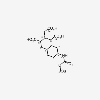 CC(C)(C)OC(=O)NC1CCC(CC(C(=O)O)N(CC(=O)O)CC(=O)O)CC1